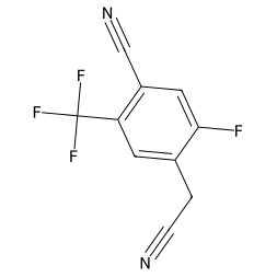 N#CCc1cc(C(F)(F)F)c(C#N)cc1F